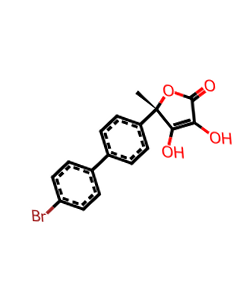 C[C@@]1(c2ccc(-c3ccc(Br)cc3)cc2)OC(=O)C(O)=C1O